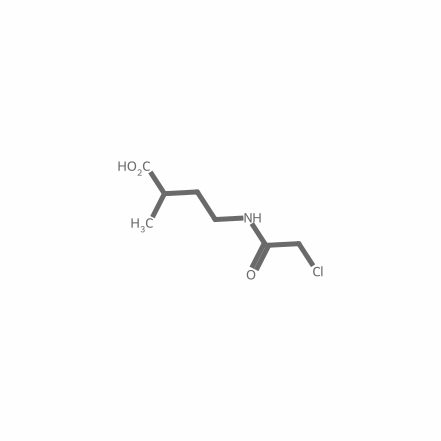 CC(CCNC(=O)CCl)C(=O)O